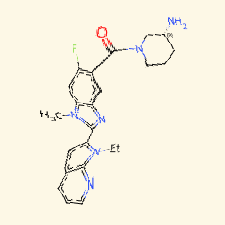 CCn1c(-c2nc3cc(C(=O)N4CCC[C@@H](N)C4)c(F)cc3n2C)cc2cccnc21